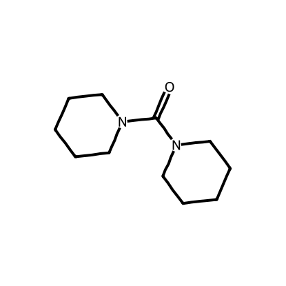 O=C(N1CCCCC1)N1CCCCC1